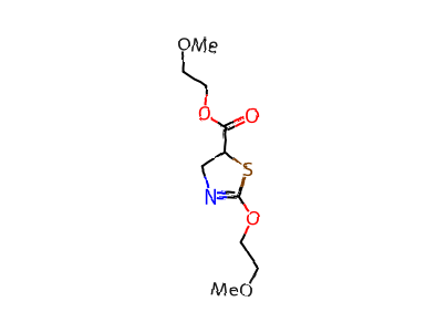 COCCOC(=O)C1CN=C(OCCOC)S1